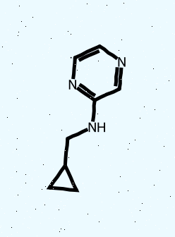 [c]1cncc(NCC2CC2)n1